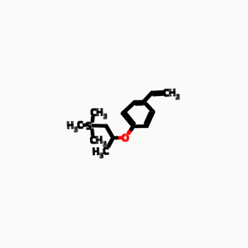 C=Cc1ccc(OC(C)C[Si](C)(C)C)cc1